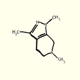 Cc1nn(C)c2c1CCN(C)C2